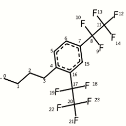 [CH2]CCCc1ccc(C(F)(F)C(F)(F)F)cc1C(F)(F)C(F)(F)F